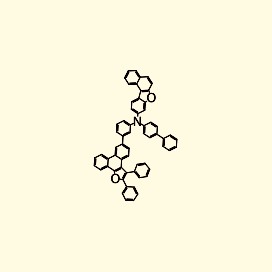 c1ccc(-c2ccc(N(c3cccc(-c4ccc5c(c4)c4ccccc4c4oc(-c6ccccc6)c(-c6ccccc6)c54)c3)c3ccc4c(c3)oc3ccc5ccccc5c34)cc2)cc1